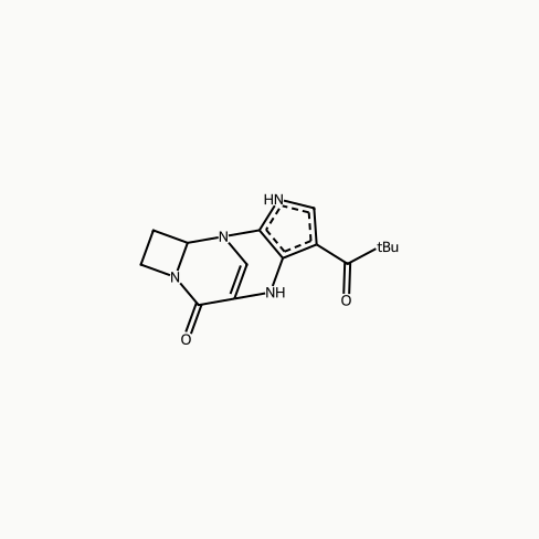 CC(C)(C)C(=O)c1c[nH]c2c1NC1=CN2C2CCN2C1=O